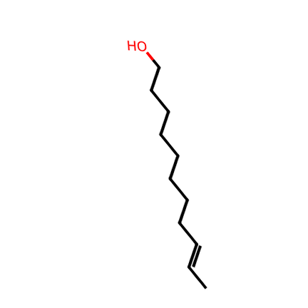 CC=CCCCCCCCCO